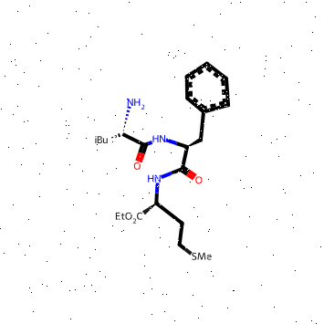 CCOC(=O)[C@H](CCSC)NC(=O)[C@H](Cc1ccccc1)NC(=O)[C@@H](N)[C@@H](C)CC